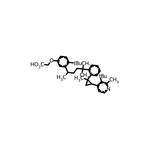 Cc1nccc(C2CC2(C)c2ccccc2C(C)(C)CCC(C)c2cc(OCC(=O)O)ccc2C(C)(C)C)c1C(C)(C)C